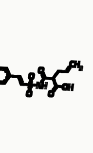 C=CCC(C(=O)O)C(=O)NS(=O)(=O)C=Cc1ccccc1